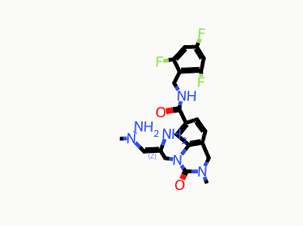 CN(N)/C=C(\N)CN1C(=O)N(C)Cc2ccc(C(=O)NCc3c(F)cc(F)cc3F)cc21